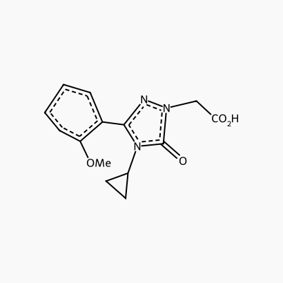 COc1ccccc1-c1nn(CC(=O)O)c(=O)n1C1CC1